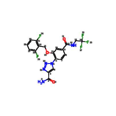 NC(=O)c1cn(-c2ccc(C(=O)NCC(F)(F)F)cc2OCc2c(F)cccc2F)nn1